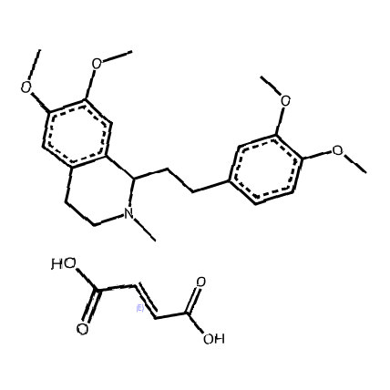 COc1ccc(CCC2c3cc(OC)c(OC)cc3CCN2C)cc1OC.O=C(O)/C=C/C(=O)O